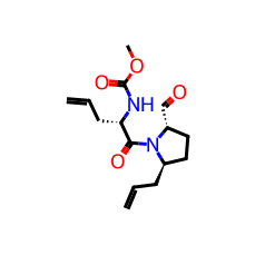 C=CC[C@@H]1CC[C@@H](C=O)N1C(=O)[C@H](CC=C)NC(=O)OC